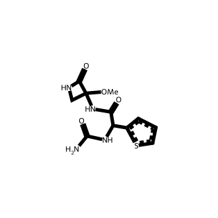 COC1(NC(=O)C(NC(N)=O)c2cccs2)CNC1=O